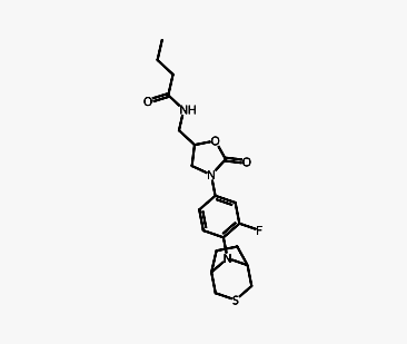 CCCC(=O)NCC1CN(c2ccc(N3C4CCC3CSC4)c(F)c2)C(=O)O1